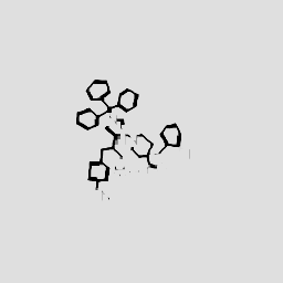 COC(=O)[C@@]1(Cc2ccccc2C)CCN[C@@H](C(=O)C(Cc2ccc(C#N)cc2)c2cn(C(c3ccccc3)(c3ccccc3)c3ccccc3)cn2)C1